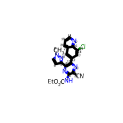 CCOC(=O)Nc1nc(-c2ccn(C)n2)c(-c2cc(Cl)c3ncccc3c2)nc1C#N